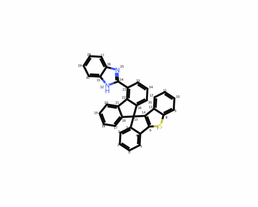 c1ccc2c(c1)-c1sc3ccccc3c1C21c2ccccc2-c2c(-c3nc4ccccc4[nH]3)cccc21